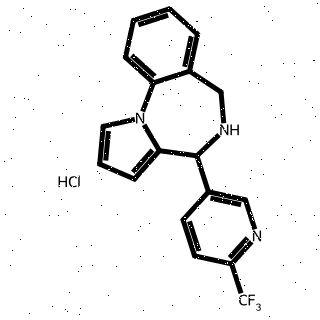 Cl.FC(F)(F)c1ccc(C2NCc3ccccc3-n3cccc32)cn1